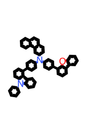 c1ccc(-n2c3ccccc3c3c(-c4ccc(N(c5ccc(-c6cccc7c6oc6ccccc67)cc5)c5ccc6ccc7ccccc7c6c5)cc4)cccc32)cc1